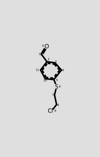 O=[C]c1ccc(SCCCl)cc1